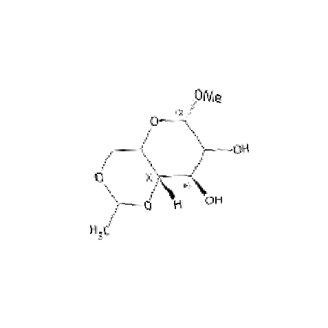 CO[C@H]1OC2COC(C)O[C@H]2[C@H](O)C1O